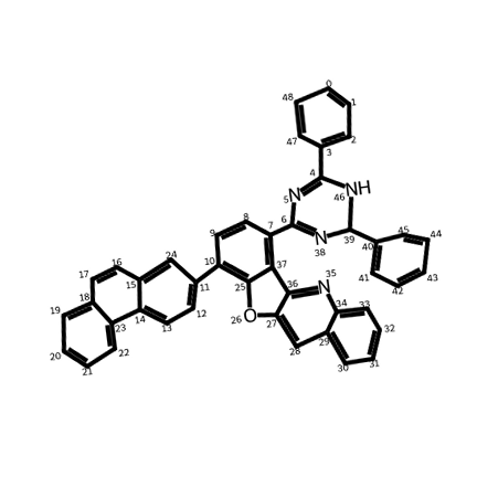 c1ccc(C2=NC(c3ccc(-c4ccc5c(ccc6ccccc65)c4)c4oc5cc6ccccc6nc5c34)=NC(c3ccccc3)N2)cc1